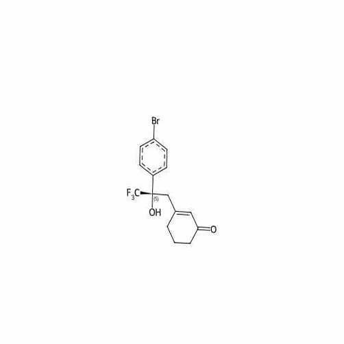 O=C1C=C(C[C@](O)(c2ccc(Br)cc2)C(F)(F)F)CCC1